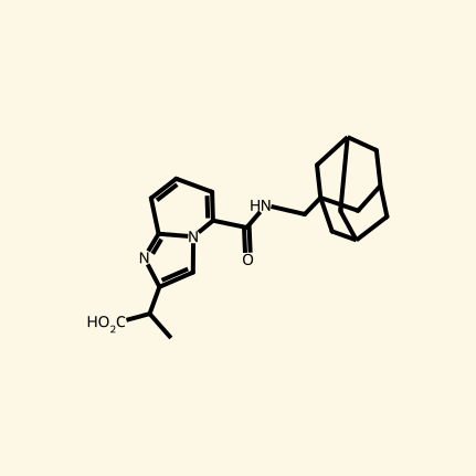 CC(C(=O)O)c1cn2c(C(=O)NCC34CC5CC(CC(C5)C3)C4)cccc2n1